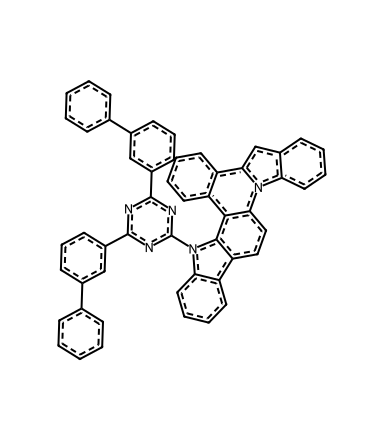 c1ccc(-c2cccc(-c3nc(-c4cccc(-c5ccccc5)c4)nc(-n4c5ccccc5c5ccc6c(c7ccccc7c7cc8ccccc8n76)c54)n3)c2)cc1